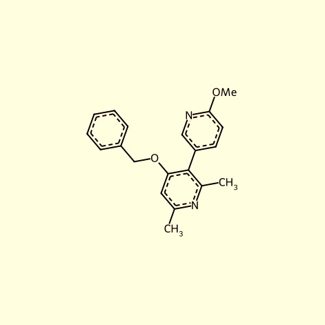 COc1ccc(-c2c(OCc3ccccc3)cc(C)nc2C)cn1